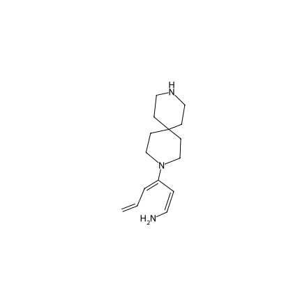 C=C/C=C(\C=C/N)N1CCC2(CCNCC2)CC1